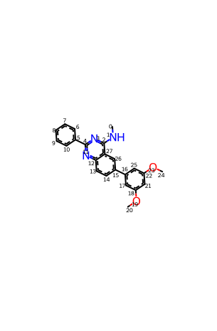 CNc1nc(-c2ccccc2)nc2ccc(-c3cc(OC)cc(OC)c3)cc12